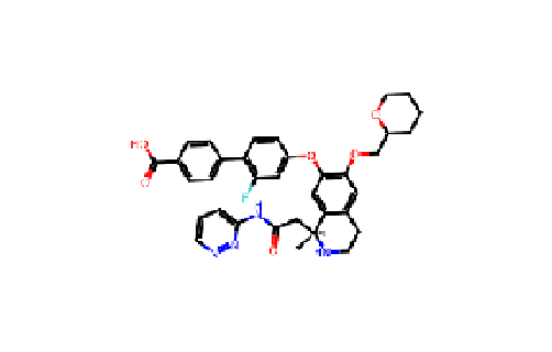 C[C@]1(CC(=O)Nc2cccnn2)NCCc2cc(OCC3CCCCO3)c(Oc3ccc(-c4ccc(C(=O)O)cc4)c(F)c3)cc21